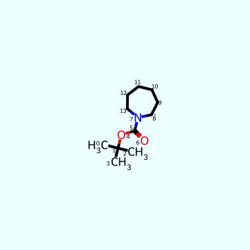 CC(C)(C)OC(=O)N1[CH]CCCCC1